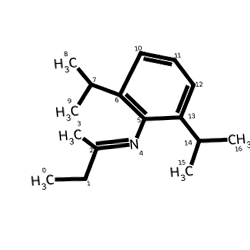 CCC(C)=Nc1c(C(C)C)cccc1C(C)C